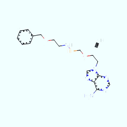 C#C[C@H](Cn1cnc2c(N)ncnc21)OCPNCCOCc1ccccc1